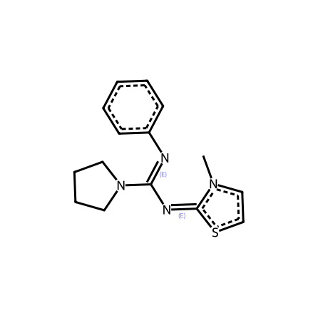 Cn1ccs/c1=N/C(=N/c1ccccc1)N1CCCC1